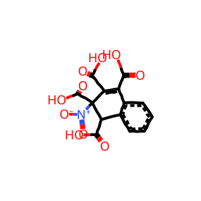 O=C(O)C1=C(C(=O)O)C(C(=O)O)([N+](=O)[O-])C(C(=O)O)c2ccccc21